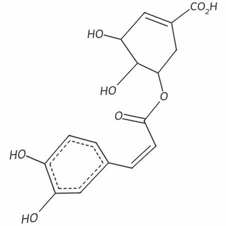 O=C(/C=C\c1ccc(O)c(O)c1)OC1CC(C(=O)O)=CC(O)C1O